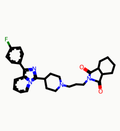 O=C1C2CCCCC2C(=O)N1CCCN1CCC(c2nc(-c3ccc(F)cc3)c3ccccn23)CC1